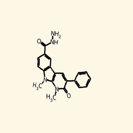 Cn1c(=O)c(-c2ccccc2)cc2c3cc(C(=O)NN)ccc3n(C)c21